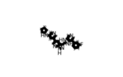 Fc1cccc(-c2cncc3c2NC(c2n[nH]c4ncc(-c5cncc(NC6CCCC6)c5)cc24)N3)c1